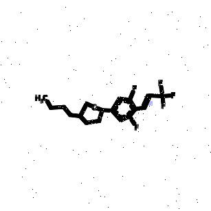 CCCCC1CCC(c2cc(F)c(/C=C/C(F)(F)F)c(F)c2)CC1